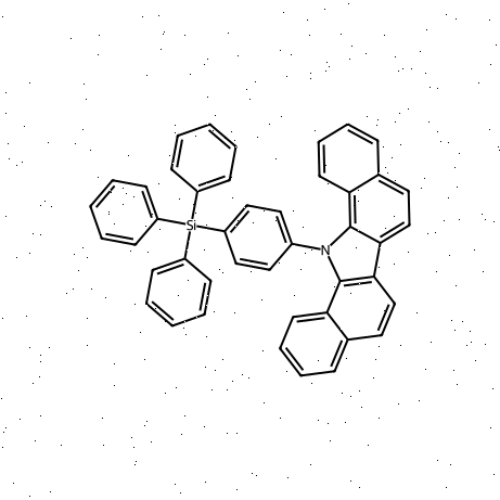 c1ccc([Si](c2ccccc2)(c2ccccc2)c2ccc(-n3c4c5ccccc5ccc4c4ccc5ccccc5c43)cc2)cc1